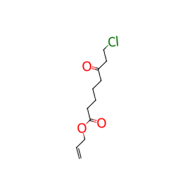 C=CCOC(=O)CCCCC(=O)CCCl